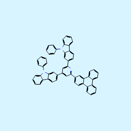 c1ccc(-n2c3ccccc3c3ccc(-c4cc(-c5ccc6c7ccccc7c7ccccc7c6c5)nc(-c5ccc6c7ccccc7n(-c7ccccc7)c6c5)c4)cc32)cc1